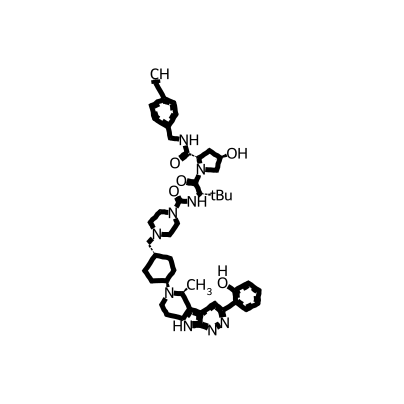 C#Cc1ccc(CNC(=O)[C@@H]2C[C@@H](O)CN2C(=O)[C@@H](NC(=O)N2CCN(C[C@H]3CC[C@H](N4CCc5[nH]c6nnc(-c7ccccc7O)cc6c5[C@H]4C)CC3)CC2)C(C)(C)C)cc1